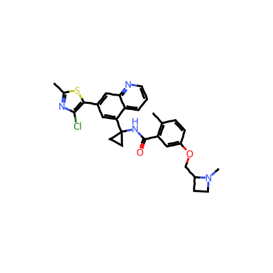 Cc1nc(Cl)c(-c2cc(C3(NC(=O)c4cc(OCC5CCN5C)ccc4C)CC3)c3cccnc3c2)s1